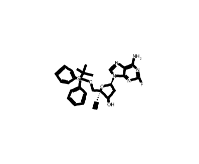 C#C[C@]1(CO[Si](c2ccccc2)(c2ccccc2)C(C)(C)C)O[C@@H](n2cnc3c(N)nc(F)nc32)CC1O